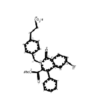 COC(=O)c1c(-c2ccccc2)c2cc(Br)ccc2c(=O)n1Cc1ccc(CCC(=O)O)cc1